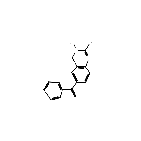 [CH2]CN1Cc2cc(C(=O)c3ccccc3)ccc2N=C1N